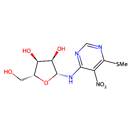 CSc1ncnc(N[C@@H]2O[C@H](CO)[C@@H](O)[C@H]2O)c1[N+](=O)[O-]